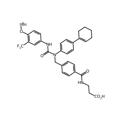 CCCCOc1ccc(NC(=O)N(Cc2ccc(C(=O)NCCC(=O)O)cc2)c2ccc(C3=CCCCC3)cc2)cc1C(F)(F)F